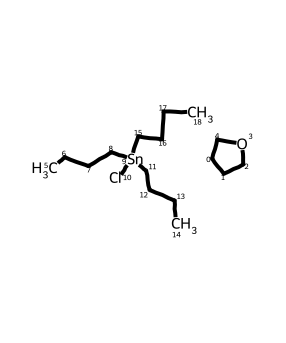 C1CCOC1.CCC[CH2][Sn]([Cl])([CH2]CCC)[CH2]CCC